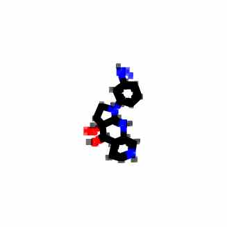 Nc1cccc(N2CCC3(O)C(=O)c4ccncc4N=C23)c1